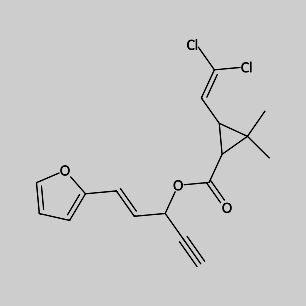 C#CC(C=Cc1ccco1)OC(=O)C1C(C=C(Cl)Cl)C1(C)C